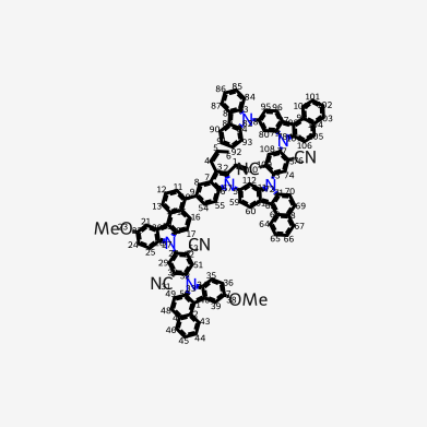 C=Cc1c(/C=C\C)c2cc(-c3cccc4c3ccc3c4c4cc(OC)ccc4n3-c3cc(C#N)c(-n4c5ccc(OC)cc5c5c6ccccc6ccc54)cc3C#N)ccc2n1-c1ccc2c3c4ccccc4ccc3n(-c3cc(C#N)c(-n4c5cc(-n6c7ccccc7c7ccccc76)ccc5c5c6ccccc6ccc54)cc3C#N)c2c1